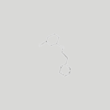 O=C1CCCC(OC=Cc2ccccc2)C1